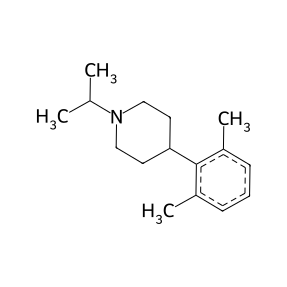 Cc1cccc(C)c1C1CCN(C(C)C)CC1